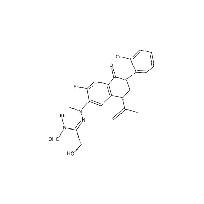 C=C(C)C1CN(c2ccccc2Cl)C(=O)c2cc(F)c(N(C)/N=C(/CO)N(C=O)CC)cc21